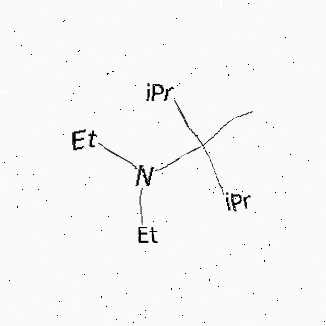 CCN(CC)C(C)(C(C)C)C(C)C